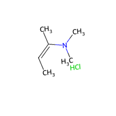 CC=C(C)N(C)C.Cl